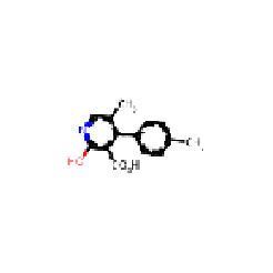 Cc1ccc(-c2c(C)cnc(O)c2C(=O)O)cc1